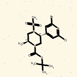 C[C@H]1CN(S(C)(=O)=O)[C@H](c2cc(Cl)nc(Br)c2)CN1C(=O)OC(C)(C)C